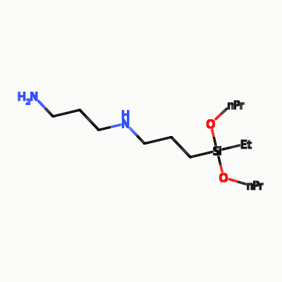 CCCO[Si](CC)(CCCNCCCN)OCCC